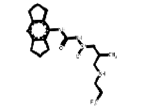 CC(CNCCC(F)(F)F)C[S+]([O-])NC(=O)Nc1c2c(cc3c1CCC3)CCC2